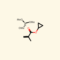 C=C(C)C(=O)OC1CC1.CO[SiH](OC)OC